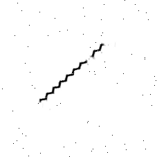 CCCCCCCCCCCCCCCOCCCCO